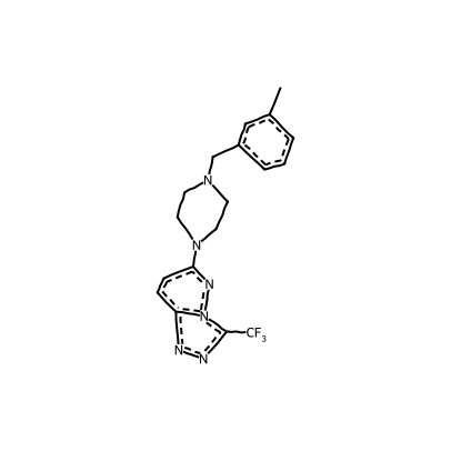 Cc1cccc(CN2CCN(c3ccc4nnc(C(F)(F)F)n4n3)CC2)c1